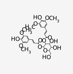 COc1cc(C=CC(=O)OC2OC(CO)C(O)C(O)C2OC(=O)C=Cc2cc(OC)c(O)c(OC)c2)cc(OC)c1O